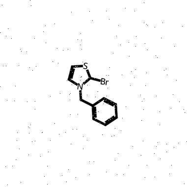 BrC1SC=CN1Cc1ccccc1